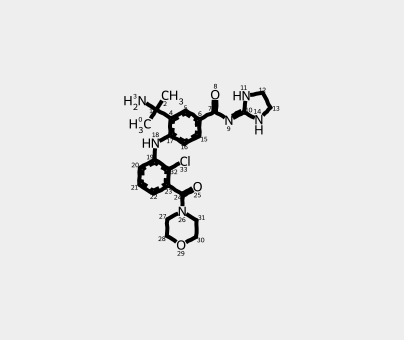 CC(C)(N)c1cc(C(=O)N=C2NCCN2)ccc1Nc1cccc(C(=O)N2CCOCC2)c1Cl